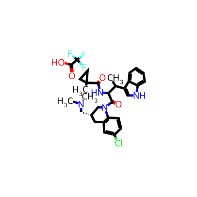 CC(c1c[nH]c2ccccc12)C(NC(=O)C1(C)CC1)C(=O)N1C[C@@H](CN(C)C)Cc2cc(Cl)ccc21.O=C(O)C(F)(F)F